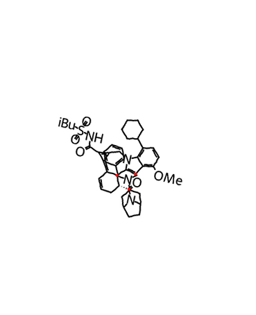 CCC(C)S(=O)(=O)NC(=O)C1=C2Cn3c(cc4c(OC)ccc(C5CCCCC5)c43)C3C(=C21)C=CC[C@H]3C(=O)N1C2CCC1CC(N(C)Cc1ccccc1)C2